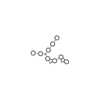 c1ccc(-c2ccc(-c3ccc(N(c4ccc(-c5ccccc5)cc4)c4ccc5oc6ccc(-c7cccc8c7sc7ccccc78)cc6c5c4)cc3)cc2)cc1